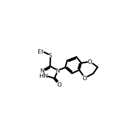 CCSc1n[nH]c(=O)n1-c1ccc2c(c1)OCCO2